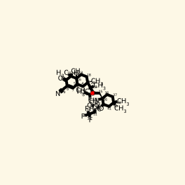 CC(=O)C[C@@H]1[C@@]2(C)C=C(C#N)C(=O)C(C)(C)[C@@H]2CC[C@@]1(C)C(C)(C)CC[C@@]1(NS(=O)(=O)CC(F)(F)F)CCC(C)(C)CC1C